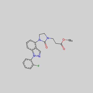 CC(C)(C)OC(=O)CCN1CCN(c2cccc3c2cnn3-c2ccccc2F)C1=O